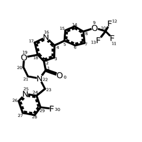 O=C1c2cc(-c3ccc(OC(F)(F)F)cc3)ncc2OCCN1Cc1ncccc1F